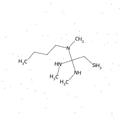 CCCCN(C)C(C[SiH3])(NC)NC